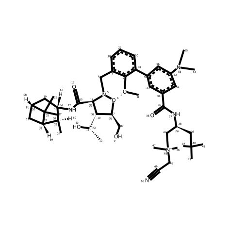 COc1c(CN2O[C@@H](CO)[C@H]([C@H](C)O)[C@H]2C(=O)N[C@H]2C[C@H]3C[C@@H]([C@@H]2C)C3(C)C)cccc1-c1cc(C(=O)N[C@@H](CC(C)(C)C)C[N+](C)(C)CC#N)cc(N(C)C)c1